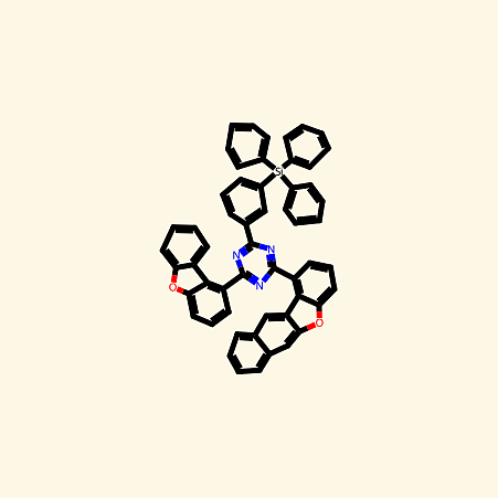 c1ccc([Si](c2ccccc2)(c2ccccc2)c2cccc(-c3nc(-c4cccc5oc6ccccc6c45)nc(-c4cccc5oc6cc7ccccc7cc6c45)n3)c2)cc1